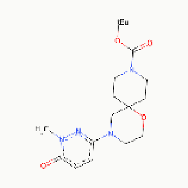 Cn1nc(N2CCOC3(CCN(C(=O)OC(C)(C)C)CC3)C2)ccc1=O